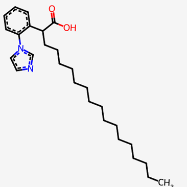 CCCCCCCCCCCCCCCCC(C(=O)O)c1ccccc1-n1ccnc1